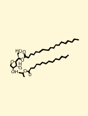 CCCCCCCCCCCCCC(=O)OC(C)C.CCCCCCCCCCCCCCCCCC(=O)O[C@H](CO)[C@H]1OC[C@H](O)[C@H]1O